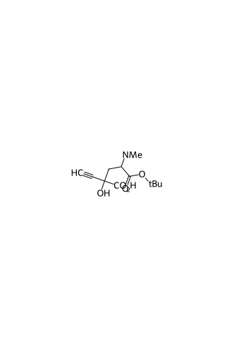 C#CC(O)(CC(NC)C(=O)OC(C)(C)C)C(=O)O